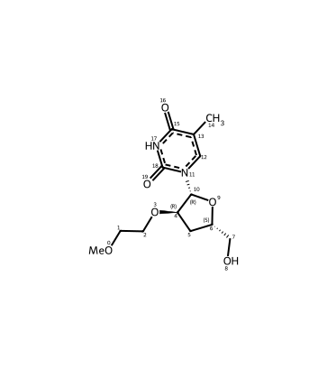 COCCO[C@@H]1C[C@@H](CO)O[C@H]1n1cc(C)c(=O)[nH]c1=O